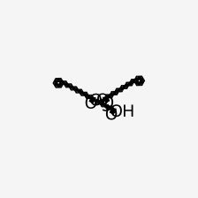 O=C(O)CCSCC(COC(=O)CCCCCCCCCCCC1CCCCC1)OC(=O)CCCCCCCCCCCC1CCCCC1